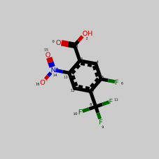 O=C(O)c1cc(F)c(C(F)(F)F)cc1[N+](=O)[O-]